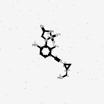 O=C1CN(c2c(O)ccc(C#C[C@@H]3C[C@H]3CO)c2F)S(=O)(=O)N1